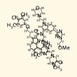 COCCn1cnc(-c2ccc3c(c2)c(N2C[C@@H](C)n4c(c(CCCOc5cc(C)c(Cl)c(C)c5)c5ccc(Cl)c(-c6c(C)nc(CN7CCN(C)C(=O)C7)nc6C)c54)C2=O)cn3CCN2CCOCC2)n1